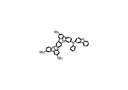 CC(C)(C)c1ccc2c(c1)c1cc(C(C)(C)C)cc3c4cc5c(cc4n2c13)c1cc(C(C)(C)C)cc2c3ccc(N(c4ccccc4)c4ccc6sc7ccccc7c6c4)cc3n5c21